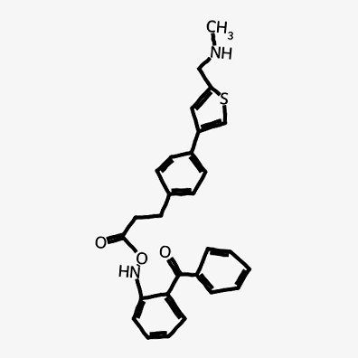 CNCc1cc(-c2ccc(CCC(=O)ONc3ccccc3C(=O)c3ccccc3)cc2)cs1